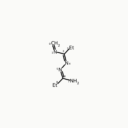 C=N/C(CC)=N\N=C(/N)CC